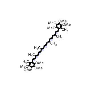 COc1c(C)c(/C=C/C(C)=C/C=C/C(C)=C/C=C/C=C(C)/C=C/C=C(C)/C=C/c2c(C)c(OC)c(OC)c(OC)c2OC)c(OC)c(OC)c1OC